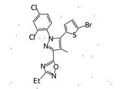 CCc1noc(-c2nn(-c3ccc(Cl)cc3Cl)c(-c3ccc(Br)s3)c2C)n1